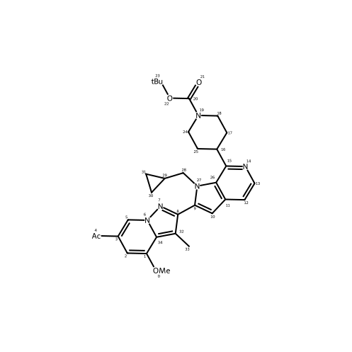 COc1cc(C(C)=O)cn2nc(-c3cc4ccnc(C5CCN(C(=O)OC(C)(C)C)CC5)c4n3CC3CC3)c(C)c12